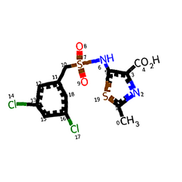 Cc1nc(C(=O)O)c(NS(=O)(=O)Cc2cc(Cl)cc(Cl)c2)s1